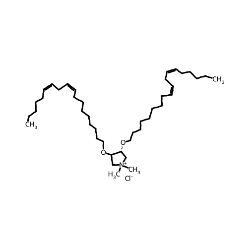 CCCCC/C=C\C/C=C\CCCCCCCCOC1C[N+](C)(C)C[C@H]1OCCCCCCCC/C=C\C/C=C\CCCCC.[Cl-]